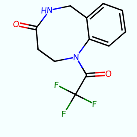 O=C1CCN(C(=O)C(F)(F)F)c2ccccc2CN1